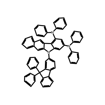 c1ccc(N(c2ccccc2)c2cc(N(c3ccccc3)c3ccccc3)c3c4cc5ccccc5cc4n(-c4ccc5c(c4)C(c4ccccc4)(c4ccccc4)c4ccccc4-5)c3c2)cc1